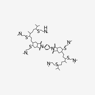 C=C1C2CC(CCC(SCCN(C)C)C(C)CCC(SCCNC)C(C)C)C(SCCN(C)C)CC2C(=C)N1c1ccc(N2C(=C)C3CC(CCC(SCCN(C)C)C(C)CCC(SCCN(C)C)C(C)C)C(SCCN(C)C)CC3C2=C)cc1